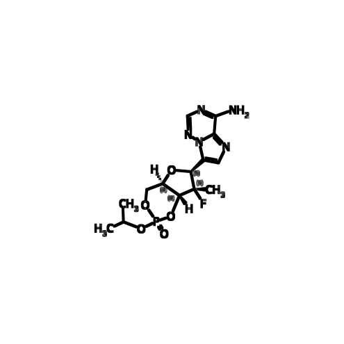 CC(C)OP1(=O)OC[C@H]2O[C@@H](c3cnc4c(N)ncnn34)[C@](C)(F)[C@@H]2O1